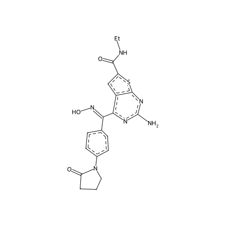 CCNC(=O)c1cc2c(C(=NO)c3ccc(N4CCCC4=O)cc3)nc(N)nc2s1